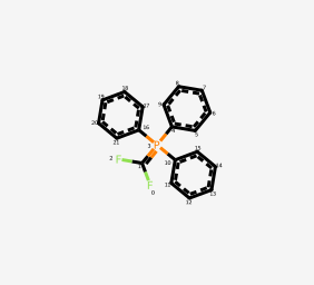 FC(F)=P(c1ccccc1)(c1ccccc1)c1ccccc1